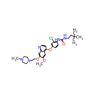 COc1cc2c(Oc3ccc(NC(=O)NCCC(C)(C)C)c(Cl)c3)ccnc2cc1OCCN1CCN(C)CC1